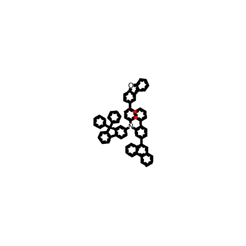 c1ccc(-c2ccc(-c3cc4ccccc4c4ccccc34)cc2N(c2ccc(-c3ccc4oc5ccccc5c4c3)cc2)c2ccc3c(c2)C(c2ccccc2)(c2ccccc2)c2ccccc2-3)cc1